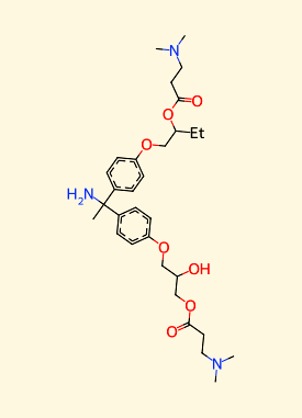 CCC(COc1ccc(C(C)(N)c2ccc(OCC(O)COC(=O)CCN(C)C)cc2)cc1)OC(=O)CCN(C)C